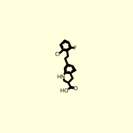 O=C(O)C1CNc2cc(CCc3c(F)cccc3Cl)ccc2C1